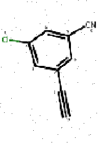 [C]#Cc1cc(Cl)cc(C#N)c1